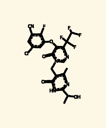 Cc1nc(C(C)O)[nH]c(=O)c1Cn1cnc(C(F)(F)C(F)F)c(Oc2cc(Cl)cc(C#N)c2F)c1=O